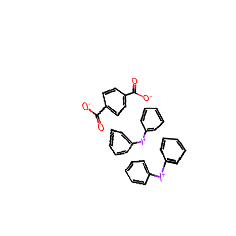 O=C([O-])c1ccc(C(=O)[O-])cc1.c1ccc([I+]c2ccccc2)cc1.c1ccc([I+]c2ccccc2)cc1